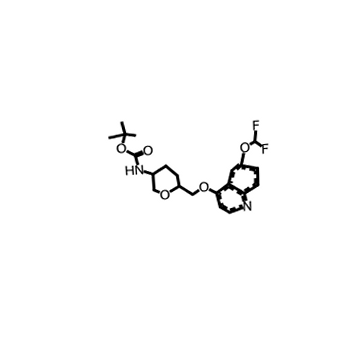 CC(C)(C)OC(=O)NC1CCC(COc2ccnc3ccc(OC(F)F)cc23)OC1